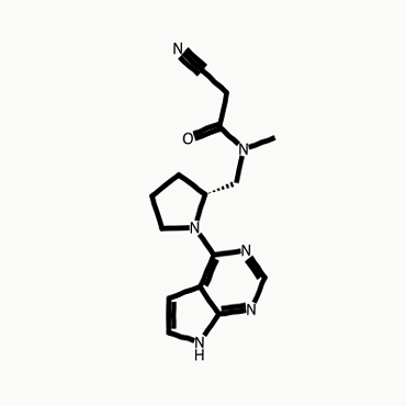 CN(C[C@H]1CCCN1c1ncnc2[nH]ccc12)C(=O)CC#N